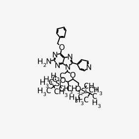 CC(O[Si](C)(C)C(C)(C)C)C(CO[Si](C)(C)C(C)(C)C)OC(C)n1c(-c2ccncc2)nc2c(OCc3ccccc3)nc(N)nc21